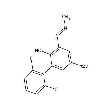 C/N=N/c1cc(C(C)(C)C)cc(-c2c(F)cccc2Cl)c1O